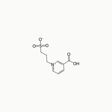 O=C(O)c1ccc[n+](CCCS(=O)(=O)[O-])c1